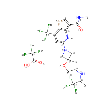 CNC(=O)c1csc2c(C(F)(F)F)cc(N3CC4(CC(NC(C)C(F)(F)F)CO4)C3)nc12.O=C(O)C(F)(F)F